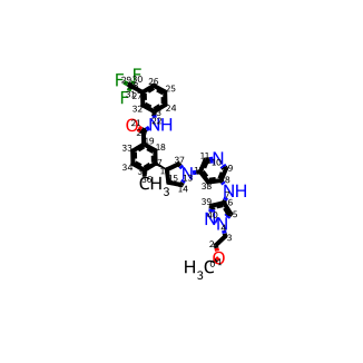 COCCn1cc(Nc2cncc(N3CC[C@@H](c4cc(C(=O)Nc5cccc(C(F)(F)F)c5)ccc4C)C3)c2)cn1